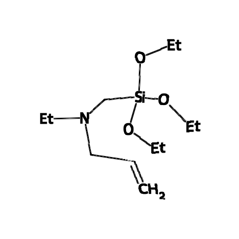 C=CCN(CC)C[Si](OCC)(OCC)OCC